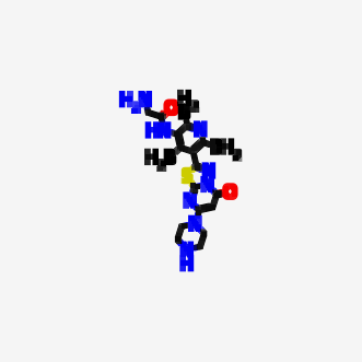 Bc1nc(B)c(-c2nn3c(=O)cc(N4CCNCC4)nc3s2)c(B)c1NC(=O)CN